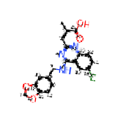 CC(=Cc1nc(NCc2ccc3c(c2)OCO3)c2cc(Cl)ccc2n1)C(=O)O